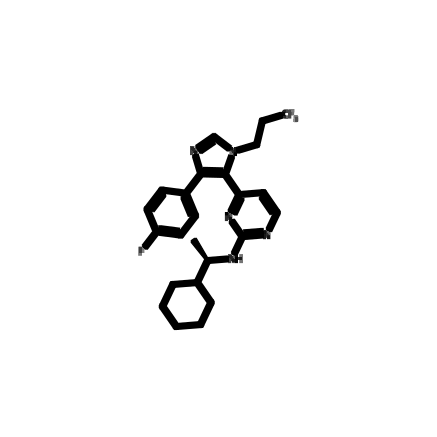 C[C@@H](Nc1nccc(-c2c(-c3ccc(F)cc3)ncn2CCC(F)(F)F)n1)C1CCCCC1